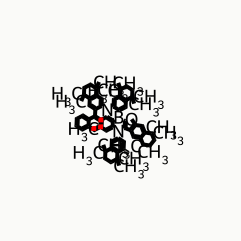 Cc1cc2c3c(c1)N(c1ccc4c(c1)C(C)(C)CCC4(C)C)c1c(oc4cc5c(cc14)C(C)(C)CCC5(C)C)B3c1cc3c(cc1N2c1cc2c(cc1-c1cccc4ccccc14)C(C)(C)CCC2(C)C)C(C)(C)CCC3(C)C